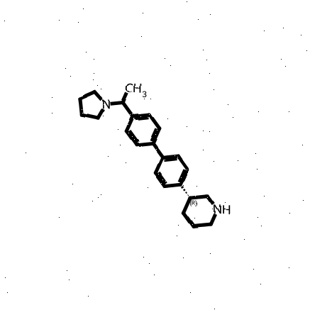 CC(c1ccc(-c2ccc([C@H]3CCCNC3)cc2)cc1)N1CCCC1